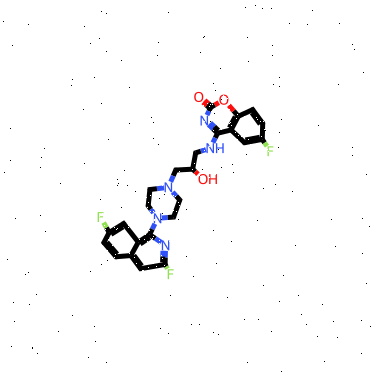 O=c1nc(NCC(O)CN2CCN(c3nc(F)cc4ccc(F)cc34)CC2)c2cc(F)ccc2o1